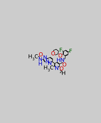 [2H]COc1nc(C)c(-c2ccc3nc(NC(C)=O)cn3n2)cc1C(=O)NCc1cc(F)cc(F)c1OC1CCCOC1